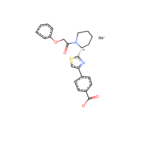 O=C([O-])c1ccc(-c2csc([C@H]3CCCCN3C(=O)COc3ccccc3)n2)cc1.[Na+]